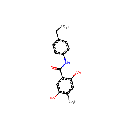 O=C(O)Cc1ccc(NC(=O)c2cc(O)c(S(=O)(=O)O)cc2O)cc1